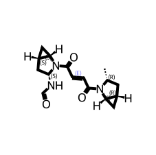 C[C@@H]1C[C@@H]2C[C@@H]2N1C(=O)/C=C/C(=O)N1[C@H](NC=O)C[C@@H]2C[C@@H]21